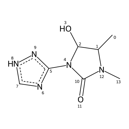 CC1C(O)N(c2nc[nH]n2)C(=O)N1C